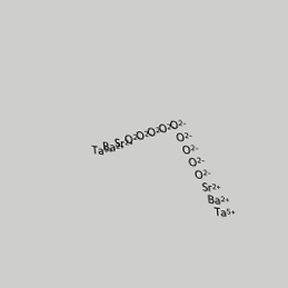 [Ba+2].[Ba+2].[O-2].[O-2].[O-2].[O-2].[O-2].[O-2].[O-2].[O-2].[O-2].[Sr+2].[Sr+2].[Ta+5].[Ta+5]